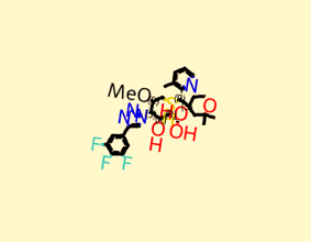 CO[C@H]1C[SH]([C@H](c2ncccc2C)[C@]2(O)CCOC(C)(C)C2)[C@H](CO)[C@H](O)[C@@H]1n1cc(-c2cc(F)c(F)c(F)c2)nn1